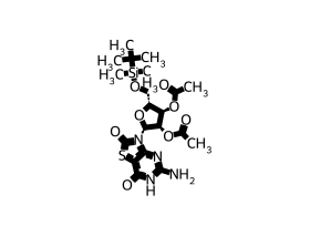 CC(=O)O[C@@H]1[C@H](OC(C)=O)[C@@H](CO[Si](C)(C)C(C)(C)C)O[C@H]1n1c(=O)sc2c(=O)[nH]c(N)nc21